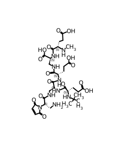 CN[C@@H](CCC(=O)O)C(=O)N[C@@H](CNC(=O)[C@H](CCC(=O)O)NC(=O)[C@H](CNC(=O)[C@H](CN)N1C(=O)C=CC1=O)NC(=O)[C@H](CCC(=O)O)NC(C)(C)C)C(=O)O